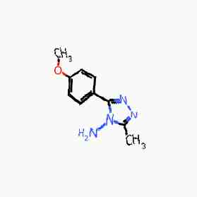 COc1ccc(-c2nnc(C)n2N)cc1